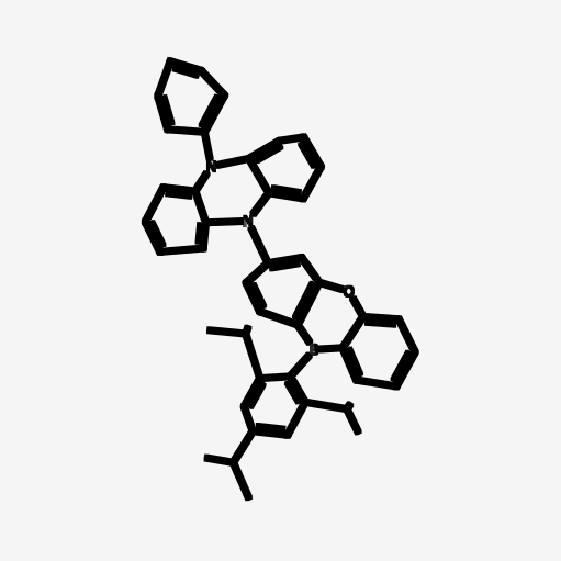 CC(C)c1cc(C(C)C)c(B2c3ccccc3Oc3cc(N4c5ccccc5N(c5ccccc5)c5ccccc54)ccc32)c(C(C)C)c1